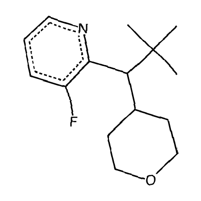 CC(C)(C)C(c1ncccc1F)C1CCOCC1